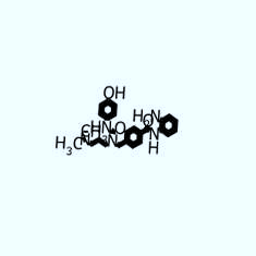 CN(C)CCCN(Cc1ccc(C(=O)Nc2ccccc2N)cc1)C(=O)Nc1ccc(O)cc1